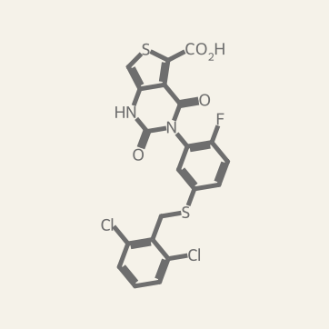 O=C(O)c1scc2[nH]c(=O)n(-c3cc(SCc4c(Cl)cccc4Cl)ccc3F)c(=O)c12